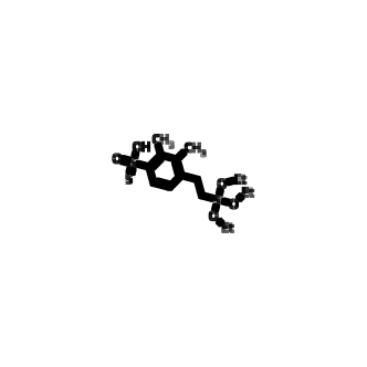 CCO[Si](CCc1ccc(S(=O)(O)=S)c(C)c1C)(OCC)OCC